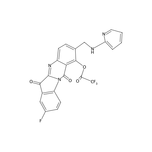 O=C1c2cc(F)ccc2-n2c1nc1ccc(CNc3ccccn3)c(OC(=O)C(F)(F)F)c1c2=O